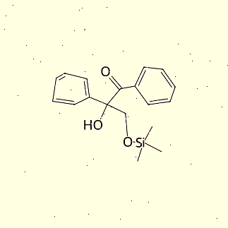 C[Si](C)(C)OCC(O)(C(=O)c1ccccc1)c1ccccc1